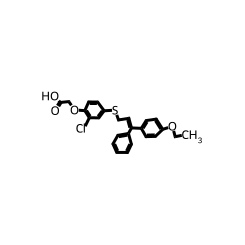 CCOc1ccc(C(=CCSc2ccc(OCC(=O)O)c(Cl)c2)c2ccccc2)cc1